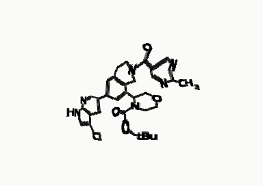 Cc1ncc(C(=O)N2CCc3cc(-c4cnc5[nH]cc(Cl)c5c4)cc(C4COCCN4C(=O)OC(C)(C)C)c3C2)cn1